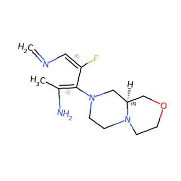 C=N/C=C(F)\C(=C(/C)N)N1CCN2CCOC[C@@H]2C1